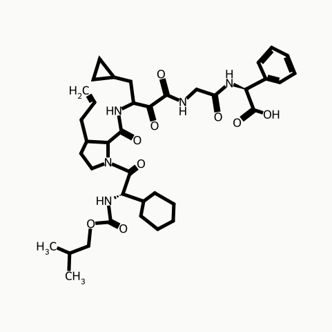 C=CCC1CCN(C(=O)[C@@H](NC(=O)OCC(C)C)C2CCCCC2)C1C(=O)NC(CC1CC1)C(=O)C(=O)NCC(=O)N[C@H](C(=O)O)c1ccccc1